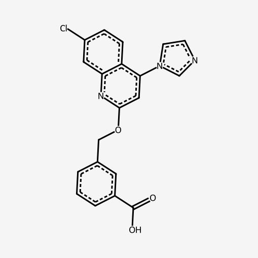 O=C(O)c1cccc(COc2cc(-n3ccnc3)c3ccc(Cl)cc3n2)c1